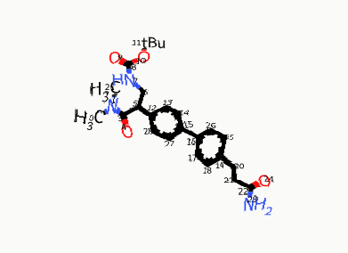 CN(C)C(=O)C(CNC(=O)OC(C)(C)C)c1ccc(-c2ccc(CCC(N)=O)cc2)cc1